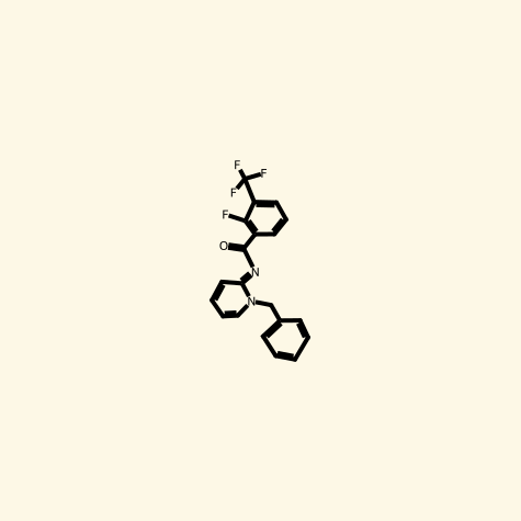 O=C(/N=c1\ccccn1Cc1ccccc1)c1cccc(C(F)(F)F)c1F